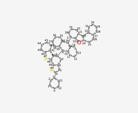 c1ccc(-c2cc3cc(-c4c5ccccc5c(-c5cccc6c5oc5ccc7ccccc7c56)c5ccccc45)c4c5ccccc5sc4c3s2)cc1